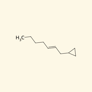 CCCCC=CCC1CC1